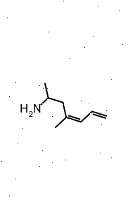 C=C/C=C(/C)CC(C)N